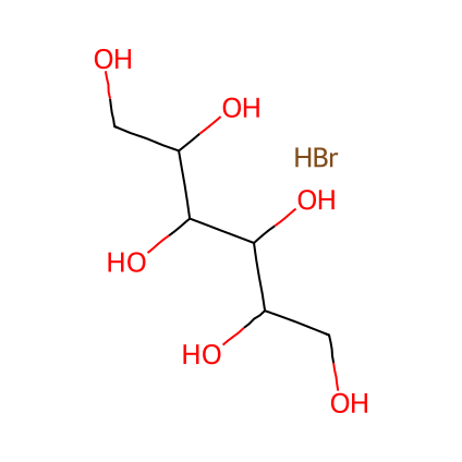 Br.OCC(O)C(O)C(O)C(O)CO